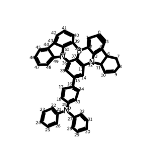 c1cc2c3c(c#1)C1CCC=CC1N3c1cc(-c3ccc(N(c4ccccc4)c4ccccc4)cc3)cc3c1B2c1cccc2c4ccccc4n-3c12